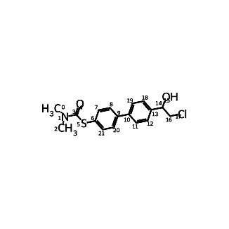 CN(C)C(=O)Sc1ccc(-c2ccc(C(O)CCl)cc2)cc1